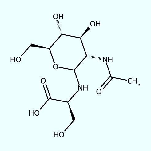 CC(=O)N[C@@H]1C(N[C@@H](CO)C(=O)O)O[C@@H](CO)[C@H](O)[C@H]1O